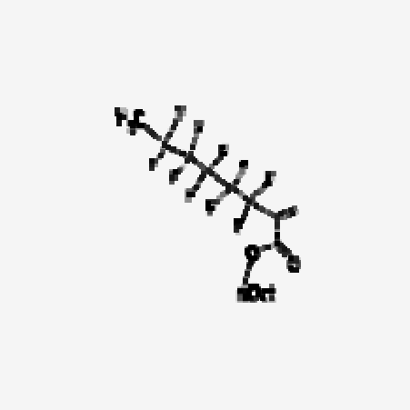 C=C(C(=O)OCCCCCCCC)C(F)(F)C(F)(F)C(F)(F)C(F)(F)C(F)(F)C(F)(F)F